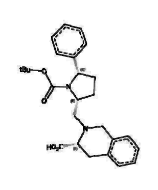 CC(C)(C)OC(=O)N1[C@@H](CN2Cc3ccccc3C[C@@H]2C(=O)O)CC[C@H]1c1ccccc1